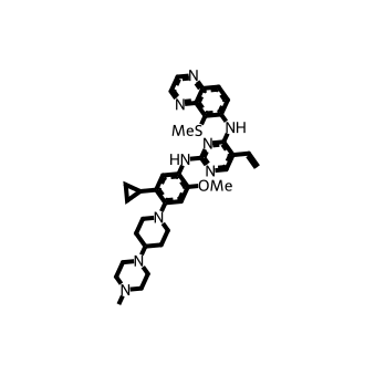 C=Cc1cnc(Nc2cc(C3CC3)c(N3CCC(N4CCN(C)CC4)CC3)cc2OC)nc1Nc1ccc2nccnc2c1SC